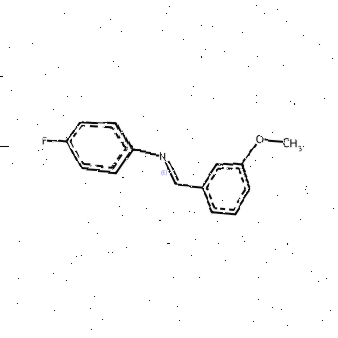 COc1cccc(/C=N/c2ccc(F)cc2)c1